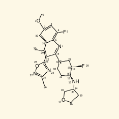 COc1cc(F)c2nc(N3CC[C@H](N[C@@H]4CCOC4)[C@H](F)C3)c(-c3nc(C)no3)c(C)c2c1